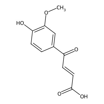 COc1cc(C(=O)C=CC(=O)O)ccc1O